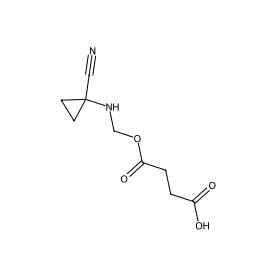 N#CC1(NCOC(=O)CCC(=O)O)CC1